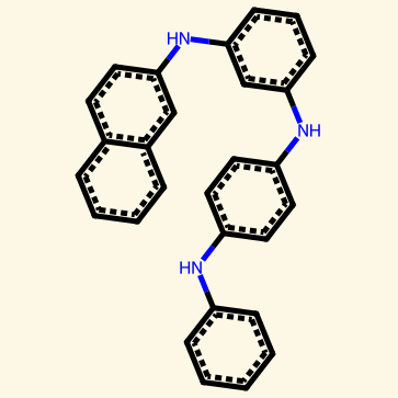 c1ccc(Nc2ccc(Nc3cccc(Nc4ccc5ccccc5c4)c3)cc2)cc1